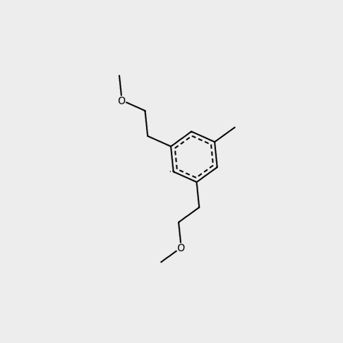 COCCc1[c]c(CCOC)cc(C)c1